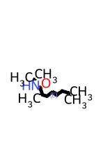 CC(C)C/C=C/CC(C)C(=O)NC(C)C